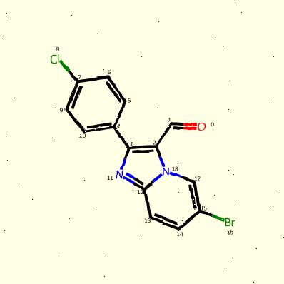 O=Cc1c(-c2ccc(Cl)cc2)nc2ccc(Br)cn12